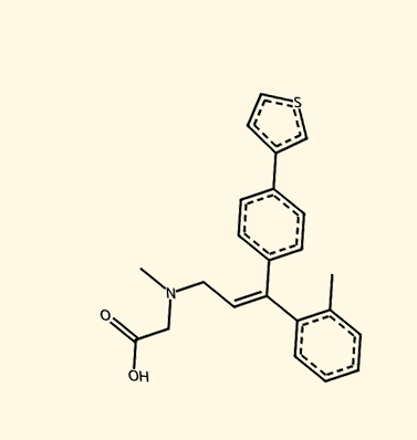 Cc1ccccc1C(=CCN(C)CC(=O)O)c1ccc(-c2ccsc2)cc1